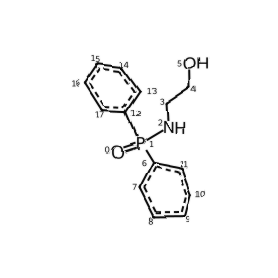 O=P(NCCO)(c1ccccc1)c1ccccc1